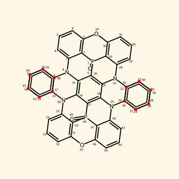 O=P12c3c4cccc3N(c3ccccc3)c3c5c6c(c(c31)N(c1ccccc1)c1cccc(c12)O4)N(c1ccccc1)c1cccc2c1P6(=O)c1c(cccc1N5c1ccccc1)O2